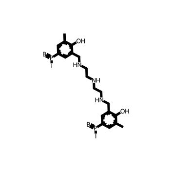 B#P(I)c1cc(C)c(O)c(CNCCNCCNCc2cc(P(#B)I)cc(C)c2O)c1